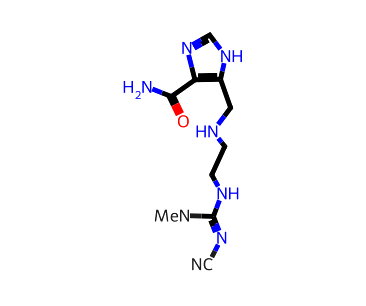 CN/C(=N\C#N)NCCNCc1[nH]cnc1C(N)=O